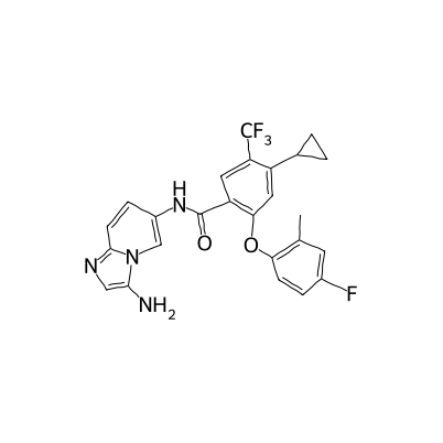 Cc1cc(F)ccc1Oc1cc(C2CC2)c(C(F)(F)F)cc1C(=O)Nc1ccc2ncc(N)n2c1